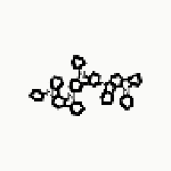 c1ccc(-n2c3ccc(-n4c5ccccc5c5c4ccc4c6ccccc6n(-c6ccccc6)c45)cc3c3cc(-n4c5ccccc5c5ccc6c(c7ccccc7n6-c6ccccc6)c54)ccc32)cc1